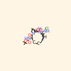 C[C@@H]1C[C@H]2C(=O)N[C@]3(C(=O)NCl)C[C@H]3/C=C\CCCCC[C@H](NC(=O)OC(C)(C)C)C(=O)N2C1